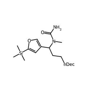 CCCCCCCCCCCCC(c1coc([Si](C)(C)C)c1)N(C)C(N)=O